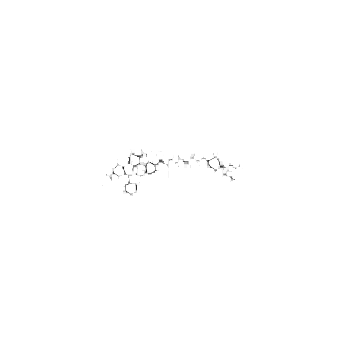 Nc1ccc2c(c1)c(-c1ccccc1)[n+](Cc1ccc(C(=O)NCCNC(=O)CCCc3ccc(N(CCCl)CCCl)cc3)cc1)c1cc(N)ccc21